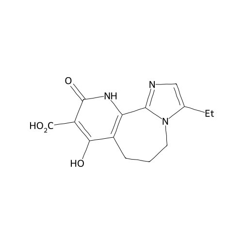 CCc1cnc2n1CCCc1c-2[nH]c(=O)c(C(=O)O)c1O